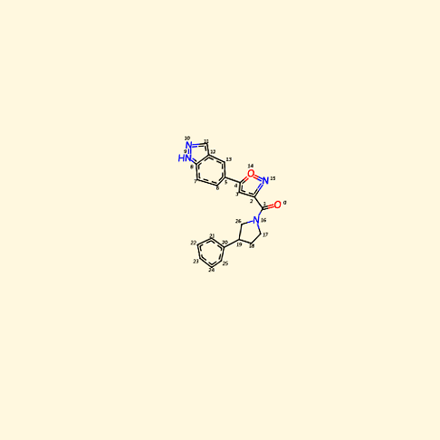 O=C(c1cc(-c2ccc3[nH]ncc3c2)on1)N1CCC(c2ccccc2)C1